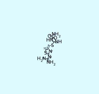 N=C(NS(N)(=O)=O)SCc1csc(N=C(N)N)n1